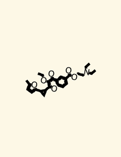 CCOc1c(C2CC2c2ccc(C)o2)oc2ccc(C(=O)OCCN(CC)CC)cc2c1=O